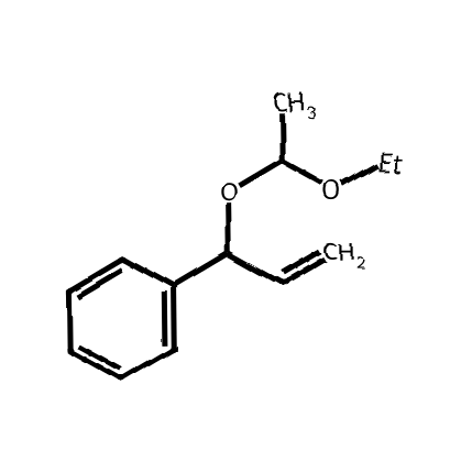 C=CC(OC(C)OCC)c1ccccc1